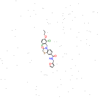 CCCOc1ccc(F)c(CN2C(=O)CSc3cc(C(=O)NCc4ccco4)ccc32)c1Cl